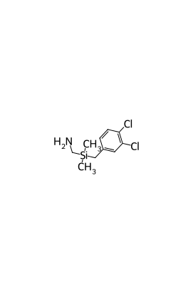 C[Si](C)(CN)Cc1ccc(Cl)c(Cl)c1